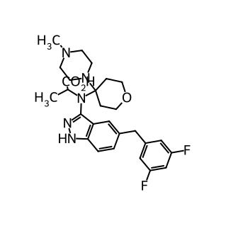 CC(C(=O)O)N(c1n[nH]c2ccc(Cc3cc(F)cc(F)c3)cc12)C1(N2CCN(C)CC2)CCOCC1